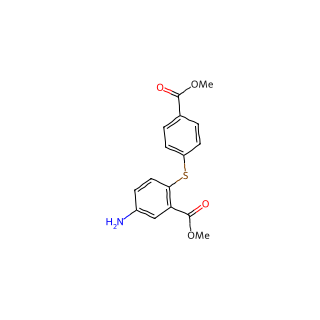 COC(=O)c1ccc(Sc2ccc(N)cc2C(=O)OC)cc1